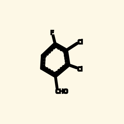 O=Cc1ccc(F)c(Cl)c1Cl